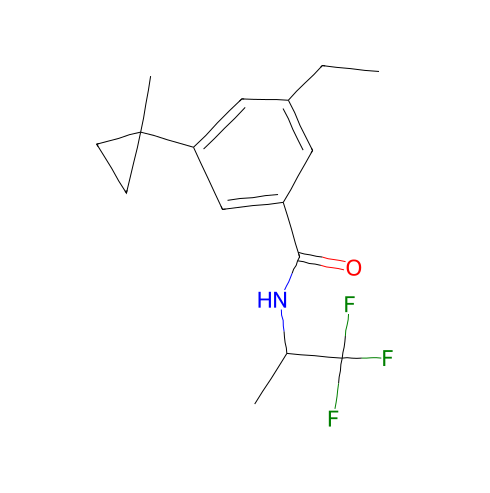 CCc1cc(C(=O)NC(C)C(F)(F)F)cc(C2(C)CC2)c1